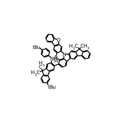 CC(C)(C)c1ccc(Nc2cc3c(cc2-c2ccc4c5cc6c(cc5n5c4c2Bc2cc4c(cc2-5)oc2ccccc24)C(C)(C)c2ccccc2-6)-c2cc(C(C)(C)C)ccc2C3(C)C)cc1